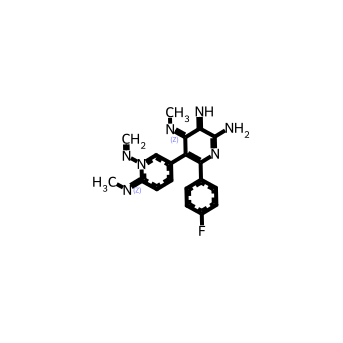 C=Nn1cc(C2=C(c3ccc(F)cc3)N=C(N)C(=N)/C2=N\C)cc/c1=N/C